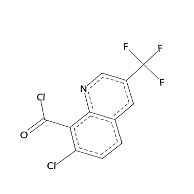 O=C(Cl)c1c(Cl)ccc2cc(C(F)(F)F)cnc12